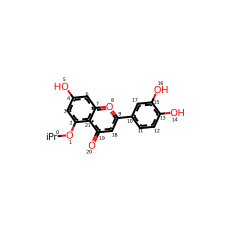 CC(C)Oc1cc(O)cc2oc(-c3ccc(O)c(O)c3)cc(=O)c12